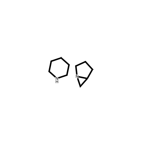 [CH]1CCN2CC12.[CH]1CCNCC1